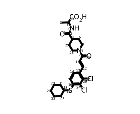 CC(NC(=O)C1CCN(C(=O)C=Cc2ccc(SC3CCCCC3)c(Cl)c2Cl)CC1)C(=O)O